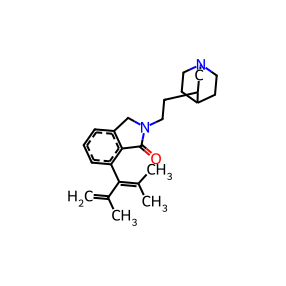 C=C(C)C(=C(C)C)c1cccc2c1C(=O)N(CCC1CN3CCC1CC3)C2